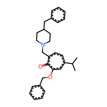 CC(C)c1ccc(CN2CCC(Cc3ccccc3)CC2)c(=O)c(OCc2ccccc2)c1